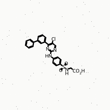 O=C(O)CNS(=O)(=O)c1ccc(Nc2ncc(Cl)c(-c3cccc(-c4ccccc4)c3)n2)cc1